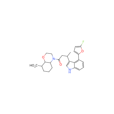 CC(CC(=O)N1CCOC2C(C(=O)O)CCCC21)c1c[nH]c2cccc(-c3ccc(F)o3)c12